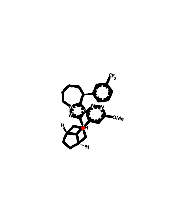 COc1cc(N2C[C@H]3CC[C@H](C2)C3Nc2nc3n(n2)CCCC[C@H]3c2cccc(C(F)(F)F)c2)cnn1